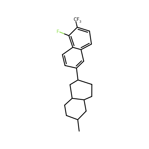 CC1CCC2CC(c3ccc4c(F)c(C(F)(F)F)ccc4c3)CCC2C1